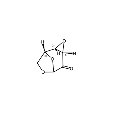 O=C1C2OC[C@@H](O2)[C@@H]2O[C@H]12